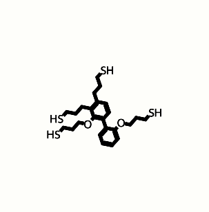 SCCCOc1ccccc1-c1ccc(CCCS)c(CCCS)c1OCCCS